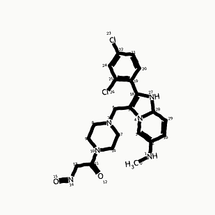 CNC1=CN2C(CN3CCN(C(=O)CN=O)CC3)=C(c3ccc(Cl)cc3Cl)NC2C=C1